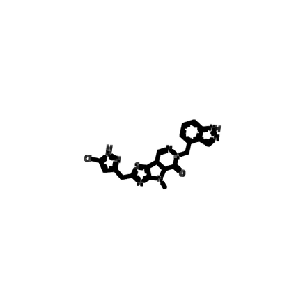 CN1c2nc(Cc3cc(Cl)[nH]n3)sc2C2C=NN(Cc3cccc4[nH]ncc34)C(=O)C21